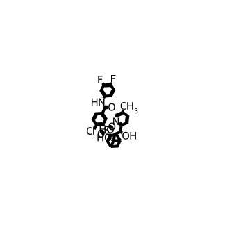 Cc1ccc(C(O)C(O)C2(O)C3CC2CC(S(=O)(=O)c2cc(C(=O)Nc4ccc(F)c(F)c4)ccc2Cl)C3)nc1